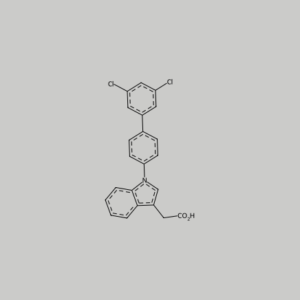 O=C(O)Cc1cn(-c2ccc(-c3cc(Cl)cc(Cl)c3)cc2)c2ccccc12